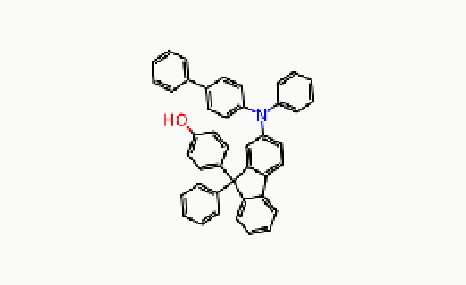 Oc1ccc(C2(c3ccccc3)c3ccccc3-c3ccc(N(c4ccccc4)c4ccc(-c5ccccc5)cc4)cc32)cc1